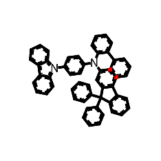 c1ccc(-c2ccccc2N(c2ccc(-n3c4ccccc4c4ccccc43)cc2)c2ccc3c(c2)C(c2ccccc2)(c2ccccc2)c2ccccc2-3)cc1